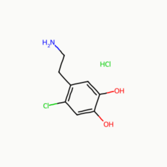 Cl.NCCc1cc(O)c(O)cc1Cl